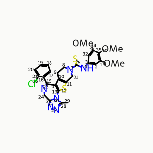 COc1cc(NC(=S)N2CCc3c(sc4c3C(c3ccccc3Cl)=NCc3nnc(C)n3-4)C2)cc(OC)c1OC